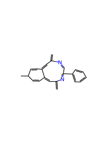 C=c1cc2c(cc(=C)nc(-c3ccccc3)cn1)C=CC(C)C=C2